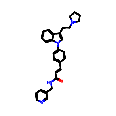 O=C(C=Cc1ccc(-n2cc(CCN3CCCC3)c3ccccc32)cc1)NCc1cccnc1